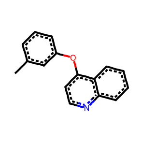 Cc1cccc(Oc2ccnc3ccccc23)c1